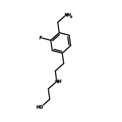 NCc1ccc(CCNCCO)cc1F